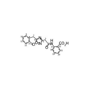 O=C(Cc1noc(Cc2ccccc2Cl)n1)Nc1ccccc1C(=O)O